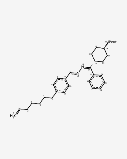 C=CCCCCCc1ccc(C=NN=C(c2ccccc2)[C@H]2CC[C@H](C(C)CCC)CC2)cc1